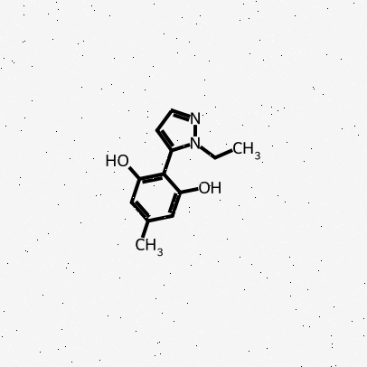 CCn1nccc1-c1c(O)cc(C)cc1O